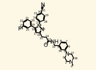 CN1CCN(c2cccc(CNC(=O)CCc3cc(-c4cccc(F)c4)n(-c4ccc(C#N)cc4)n3)c2)CC1